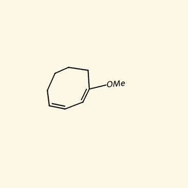 COC1=CC=CCCCC1